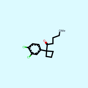 COCCCC(=O)C1(c2ccc(Cl)c(Cl)c2)CCC1